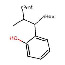 CCCCCCC(c1ccccc1O)C(C)CCCCC